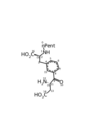 CCCCCN[C@@H](Cc1cccc(C(=O)[C@@H](N)CC(=O)O)c1)C(=O)O